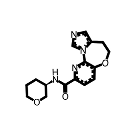 O=C(N[C@@H]1CCCOC1)c1ccc2c(n1)-n1cncc1CCO2